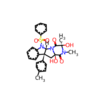 Cc1ccc([C@]23C[C@@]4(O)C(=O)N(C)[C@](C)(O)C(=O)N4[C@H]2N(S(=O)(=O)c2ccccc2)c2ccccc23)cc1